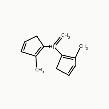 [CH2]=[Hf]([C]1=C(C)C=CC1)[C]1=C(C)C=CC1